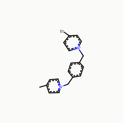 CCc1cc[n+](Cc2ccc(C[n+]3ccc(C)cc3)cc2)cc1